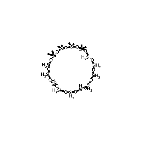 C[Si]1(C)O[SiH2]O[SiH2]O[SiH2]O[SiH2]O[SiH2]O[SiH2]O[SiH2]O[SiH2]O[SiH2]O[SiH2]O[Si](C)(C)O[Si](C)(C)O[Si](C)(C)O1